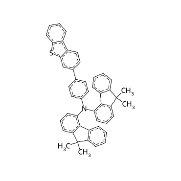 CC1(C)c2ccccc2-c2c(N(c3ccc(-c4ccc5c(c4)sc4ccccc45)cc3)c3cccc4c3-c3ccccc3C4(C)C)cccc21